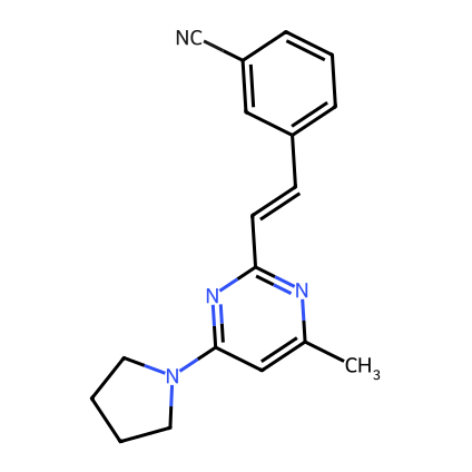 Cc1cc(N2CCCC2)nc(C=Cc2cccc(C#N)c2)n1